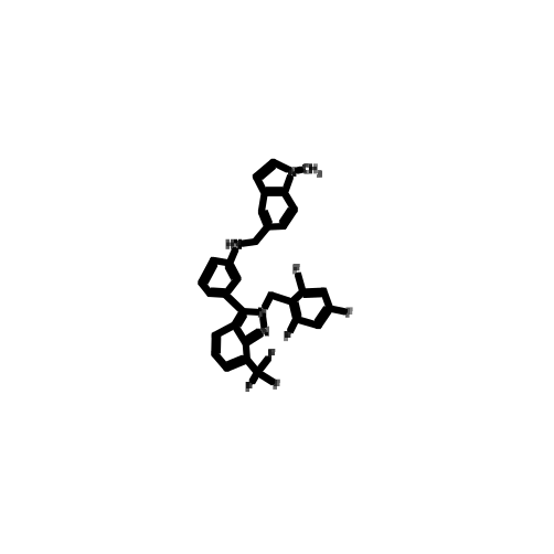 Cn1ccc2cc(CNc3cccc(-c4c5cccc(C(F)(F)F)c5nn4Cc4c(F)cc(F)cc4F)c3)ccc21